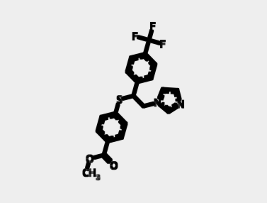 COC(=O)c1ccc(SC(Cn2ccnc2)c2ccc(C(F)(F)F)cc2)cc1